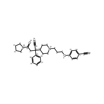 N#Cc1ccc(OCCCN2CCC(C(C#N)(CC(=O)N3CCCC3)c3ccccc3)CC2)cc1